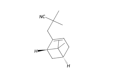 CC(C)(C#N)CC1=CC[C@H]2C[C@H]1C2(C)C